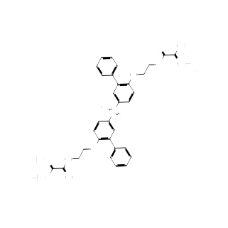 C=C(C)C(=O)OCCOc1ccc(S(=O)(=O)c2ccc(OCCOC(=O)C(=C)C)c(-c3ccccc3)c2)cc1-c1ccccc1